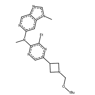 CCc1nc(C2CN(COC(C)(C)C)C2)cnc1N(C)c1cc2c(cn1)ncn2C